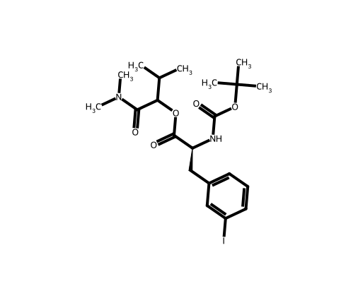 CC(C)C(OC(=O)[C@H](Cc1cccc(I)c1)NC(=O)OC(C)(C)C)C(=O)N(C)C